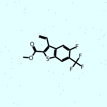 C=Cc1c(C(=O)OC)sc2cc(C(F)(F)F)c(F)cc12